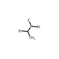 CCC(C)N(F)CC